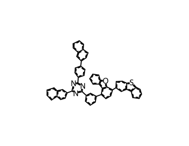 c1cc(-c2nc(-c3ccc(-c4ccc5ccccc5c4)cc3)nc(-c3ccc4ccccc4c3)n2)cc(-c2ccc(-c3ccc4sc5ccccc5c4c3)c3oc4ccccc4c23)c1